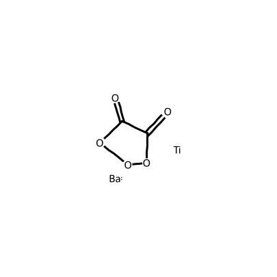 O=c1oooc1=O.[Ba].[Ti]